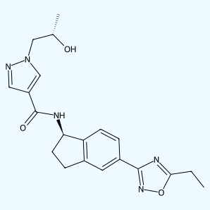 CCc1nc(-c2ccc3c(c2)CC[C@H]3NC(=O)c2cnn(C[C@H](C)O)c2)no1